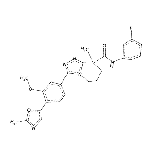 COc1cc(-c2nnc3n2CCCC3(C)C(=O)Nc2cccc(F)c2)ccc1-c1cnc(C)o1